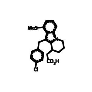 CSc1cccc2c1c(Cc1ccc(Cl)cc1)c1n2CCCC1CC(=O)O